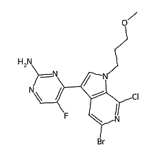 COCCCn1cc(-c2nc(N)ncc2F)c2cc(Br)nc(Cl)c21